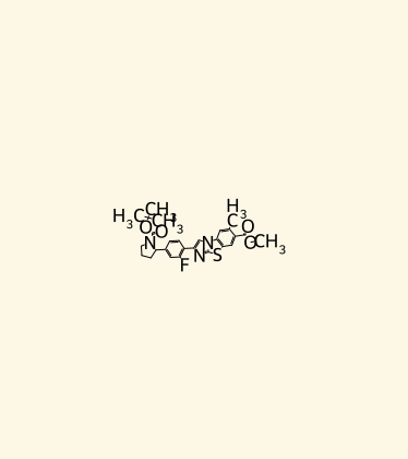 COC(=O)c1cc2sc3nc(-c4ccc(C5CCCN5C(=O)OC(C)(C)C)cc4F)cn3c2cc1C